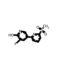 CS(=O)(=O)c1cc[c]c(-c2cnc(O)c(F)c2)n1